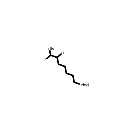 CCCCCCCCCCCCC(Cl)C(F)CCCC